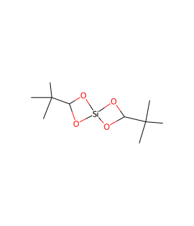 CC(C)(C)C1O[Si]2(O1)OC(C(C)(C)C)O2